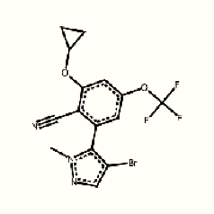 Cn1ncc(Br)c1-c1cc(OC(F)(F)F)cc(OC2CC2)c1C#N